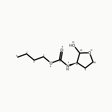 CCCCOC(=O)N[C@@H]1CCOC1O